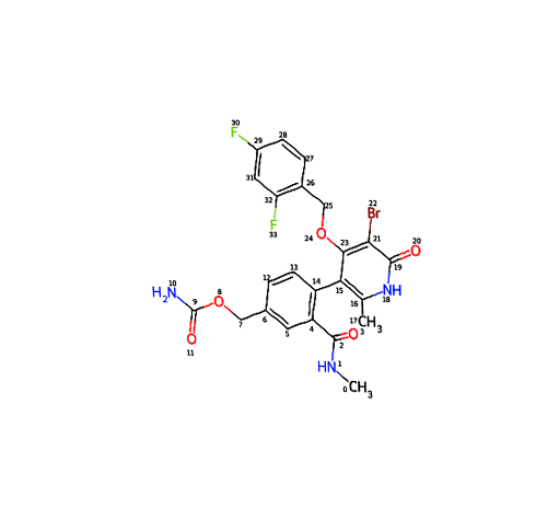 CNC(=O)c1cc(COC(N)=O)ccc1-c1c(C)[nH]c(=O)c(Br)c1OCc1ccc(F)cc1F